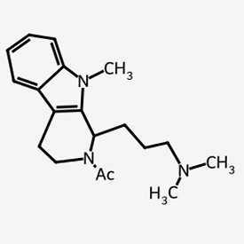 CC(=O)N1CCc2c(n(C)c3ccccc23)C1CCCN(C)C